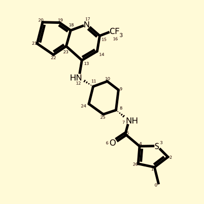 Cc1csc(C(=O)N[C@H]2CC[C@@H](Nc3cc(C(F)(F)F)nc4ccccc34)CC2)c1